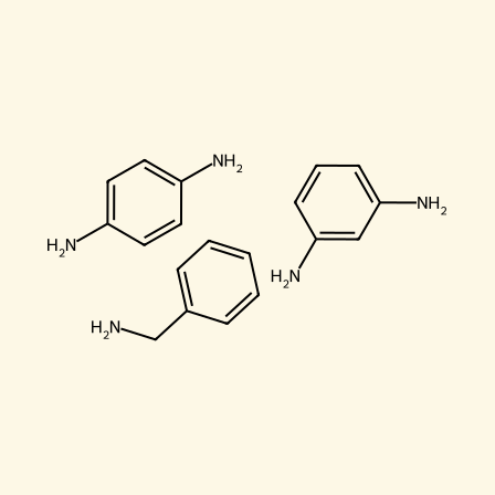 NCc1ccccc1.Nc1ccc(N)cc1.Nc1cccc(N)c1